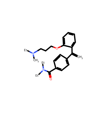 C=C(c1ccc(C(=O)N(CC)CC)cc1)c1ccccc1OCCCN(C)CC